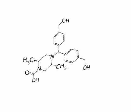 C[C@@H]1CN(C(=O)O)[C@@H](C)CN1C(c1ccc(CO)cc1)c1ccc(CO)cc1